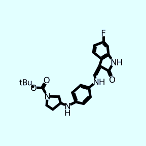 CC(C)(C)OC(=O)N1CCC(Nc2ccc(NC=C3C(=O)Nc4cc(F)ccc43)cc2)C1